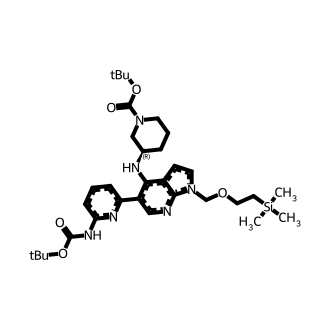 CC(C)(C)OC(=O)Nc1cccc(-c2cnc3c(ccn3COCC[Si](C)(C)C)c2N[C@@H]2CCCN(C(=O)OC(C)(C)C)C2)n1